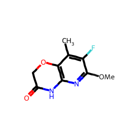 COc1nc2c(c(C)c1F)OCC(=O)N2